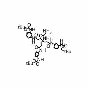 CC(C)(C)OC(=O)Nc1cccc(NC(=O)CCC(CCC(=O)Nc2cccc(NC(=O)OC(C)(C)C)c2)(CCC(=O)Nc2cccc(NC(=O)OC(C)(C)C)c2)NC(=O)CN)c1